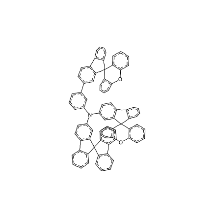 c1cc(-c2ccc3c(c2)C2(c4ccccc4Oc4ccccc42)c2ccccc2-3)cc(N(c2ccc3c(c2)C2(c4ccccc4Oc4ccccc42)c2ccccc2-3)c2ccc3c(c2)C2(c4ccccc4-c4ccccc42)c2ccccc2-3)c1